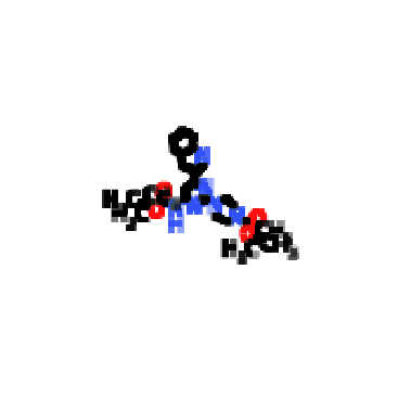 CC(C)(C)OC(=O)Nc1cc(-c2cnc3ccccc3c2)nc(N2CCN(C(=O)OC(C)(C)C)CC2)n1